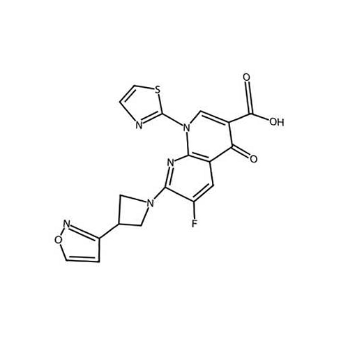 O=C(O)c1cn(-c2nccs2)c2nc(N3CC(c4ccon4)C3)c(F)cc2c1=O